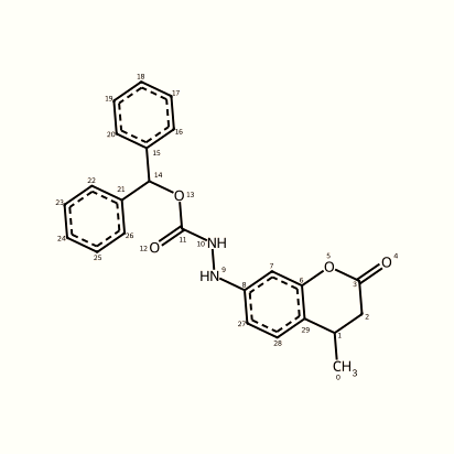 CC1CC(=O)Oc2cc(NNC(=O)OC(c3ccccc3)c3ccccc3)ccc21